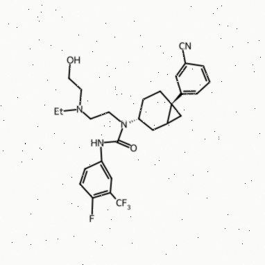 CCN(CCO)CCN(C(=O)Nc1ccc(F)c(C(F)(F)F)c1)[C@@H]1CC[C@]2(c3cccc(C#N)c3)CC2C1